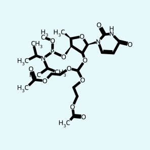 COP(O[C@@H]1C(OC(OCCOC(C)=O)OCCOC(C)=O)[C@H](n2ccc(=O)[nH]c2=O)O[C@@H]1C)N(C(C)C)C(C)C